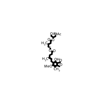 COc1c(C)c2c(c(O)c1C/C=C(\C)CCC(=O)OSCC(C)CC(=O)OC(COC(C)=O)COC(C)=O)C(=O)OC2